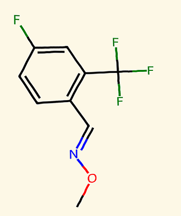 CO/N=C/c1ccc(F)cc1C(F)(F)F